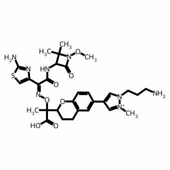 CON1C(=O)C(NC(=O)/C(=N\OC(C)(C(=O)O)C2CCc3cc(-c4cn(CCCN)[n+](C)c4)ccc3O2)c2csc(N)n2)C1(C)C